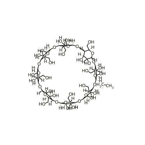 OC[C@H]1O[C@@H]2O[C@H]3[C@H](O)[C@@H](O)[C@@H](O[C@H]4[C@H](O)[C@@H](O)[C@@H](O[C@H]5[C@H](O)[C@@H](O)[C@@H](O[C@H]6[C@H](O)[C@@H](O)[C@@H](O[C@H]7[C@H](O)[C@@H](O)[C@@H](O[C@H]8[C@H](O)[C@@H](O)[C@@H](O[C@H]9[C@H](O)[C@@H](O)[C@@H](O[C@H]1[C@H](O)[C@H]2O)O[C@@H]9CO)O[C@@H]8CO)O[C@@H]7CO)O[C@@H]6CO)O[C@@H]5CO)O[C@@H]4CO)O[C@@H]3CO.[CH2]C